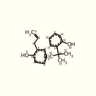 C=CCc1ccccc1O.CC(C)(C)c1ccccc1O